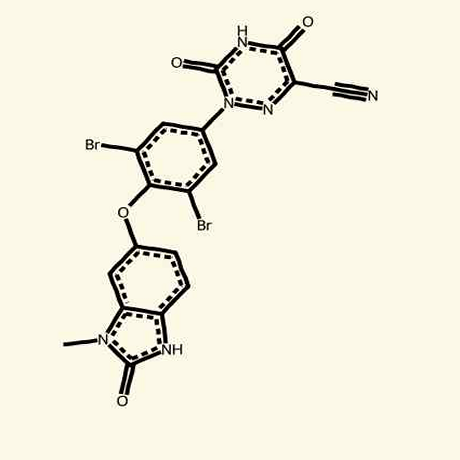 Cn1c(=O)[nH]c2ccc(Oc3c(Br)cc(-n4nc(C#N)c(=O)[nH]c4=O)cc3Br)cc21